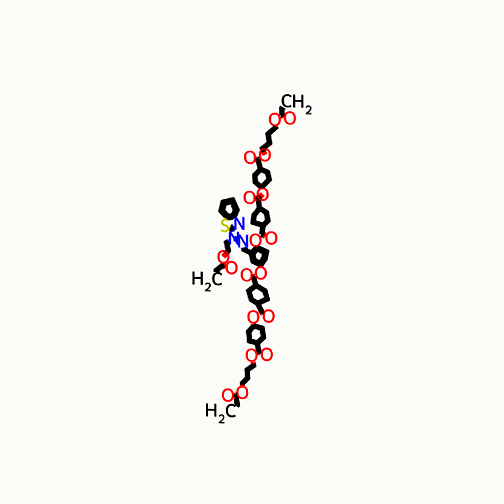 C=CC(=O)OCCCCOC(=O)C1CCC(OC(=O)C2CCC(C(=O)Oc3ccc(OC(=O)C4CCC(C(=O)OC5CCC(C(=O)OCCCCOC(=O)C=C)CC5)CC4)c(/C=N/N(CCOC(=O)C=C)c4nc5ccccc5s4)c3)CC2)CC1